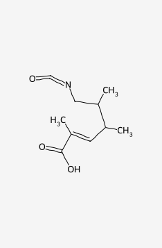 CC(=CC(C)C(C)CN=C=O)C(=O)O